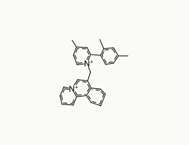 Cc1ccc(-c2cc(C)cc[n+]2Cc2c[n+]3ccccc3c3ccccc23)c(C)c1